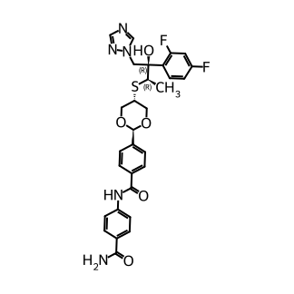 C[C@@H](S[C@H]1CO[C@H](c2ccc(C(=O)Nc3ccc(C(N)=O)cc3)cc2)OC1)[C@](O)(Cn1cncn1)c1ccc(F)cc1F